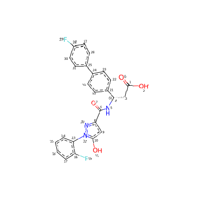 O=C(O)C[C@H](NC(=O)c1cc(O)n(-c2ccccc2F)n1)c1ccc(-c2ccc(F)cc2)cc1